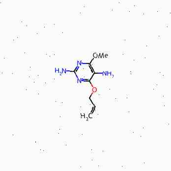 C=CCOc1nc(N)nc(OC)c1N